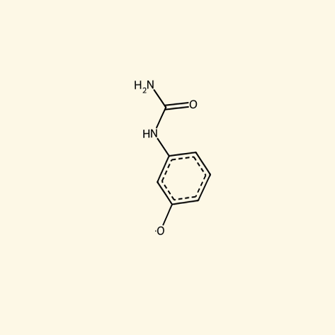 NC(=O)Nc1cccc([O])c1